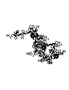 CC[C@H](C)[C@H](NC(=O)[C@H](CO)NC(=O)[C@H](Cc1ccc(O)cc1)NC(=O)[C@H](CC(=O)O)NC(=O)[C@H](CO)NC(=O)[C@@H](NC(=O)[C@H](Cc1ccccc1)NC(=O)[C@@H](NC(=O)CNC(=O)[C@H](CCC(=O)O)NC(=O)CSCC(=O)NCCN1C(=O)SC(C)C1=O)[C@@H](C)O)[C@@H](C)O)C(=O)N[C@@H](Cc1ccc(O)cc1)C(=O)N[C@@H](CC(C)C)C(=O)N[C@@H](CC(=O)O)C(=O)N[C@H](C)CCCCN